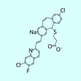 O=C([O-])CCSC1c2ccc(Cl)cc2C=Cc2ccc(/C=C/c3ccc4cc(F)c(Cl)cc4n3)cc21.[Na+]